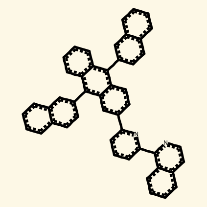 c1cc(-c2ccc3c(-c4ccc5ccccc5c4)c4ccccc4c(-c4ccc5ccccc5c4)c3c2)nc(-c2nccc3ccccc23)c1